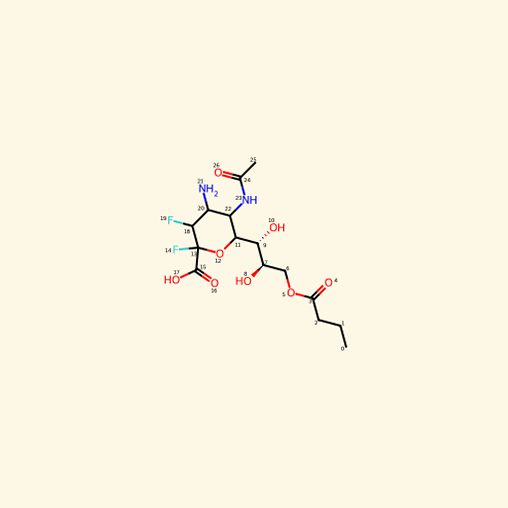 CCCC(=O)OC[C@@H](O)[C@@H](O)C1OC(F)(C(=O)O)C(F)C(N)C1NC(C)=O